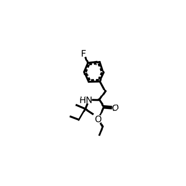 CCOC(=O)C(Cc1ccc(F)cc1)NC(C)(C)CC